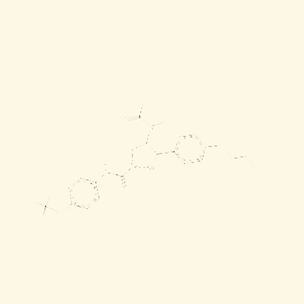 CCCOc1ccc(C2NN(C(=O)Nc3ccc(OC(F)(F)F)cc3)CC2N(C)C(=O)OC)cc1